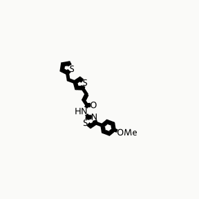 COc1ccc(-c2csc(NC(=O)C=Cc3cc(Cc4cccs4)cs3)n2)cc1